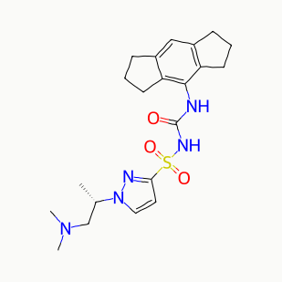 C[C@@H](CN(C)C)n1ccc(S(=O)(=O)NC(=O)Nc2c3c(cc4c2CCC4)CCC3)n1